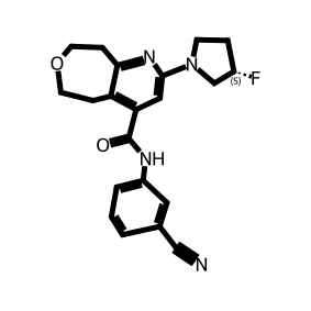 N#Cc1cccc(NC(=O)c2cc(N3CC[C@H](F)C3)nc3c2CCOCC3)c1